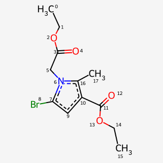 CCOC(=O)Cn1c(Br)cc(C(=O)OCC)c1C